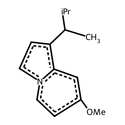 COc1ccn2ccc(C(C)C(C)C)c2c1